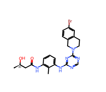 Cc1c(NC(=O)C[C@@H](C)O)cccc1Nc1ncnc(N2CCc3cc(Br)ccc3C2)n1